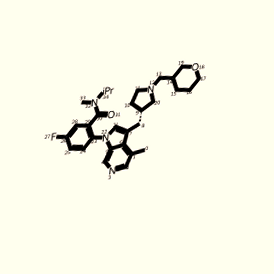 Cc1cncc2c1c(C[C@@H]1CCN(CC3CCCOC3)C1)cn2-c1ccc(F)cc1C(=O)N(C)C(C)C